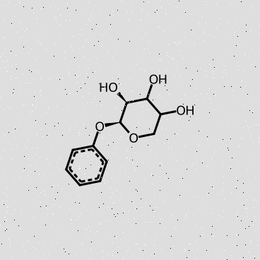 OC1CO[C@@H](Oc2ccccc2)[C@@H](O)C1O